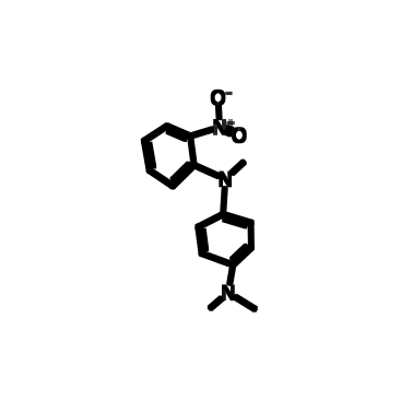 CN(C)c1ccc(N(C)c2ccccc2[N+](=O)[O-])cc1